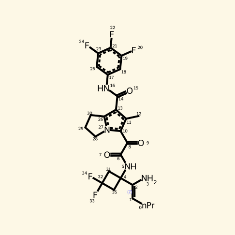 CCC/C=C(\N)C1(NC(=O)C(=O)c2c(C)c(C(=O)Nc3cc(F)c(F)c(F)c3)c3n2CCC3)CC(F)(F)C1